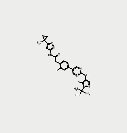 BC(B)(B)n1ncc(Nc2ncc(-c3ccc(CC(=O)Nc4cc(C5(C(F)(F)F)CC5)on4)c(F)c3)cn2)c1C